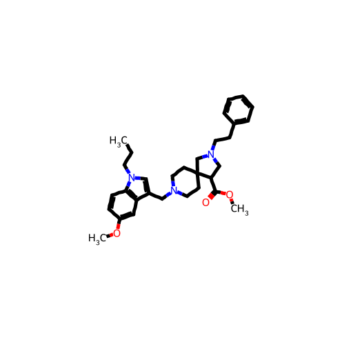 CCCn1cc(CN2CCC3(CC2)CN(CCc2ccccc2)CC3C(=O)OC)c2cc(OC)ccc21